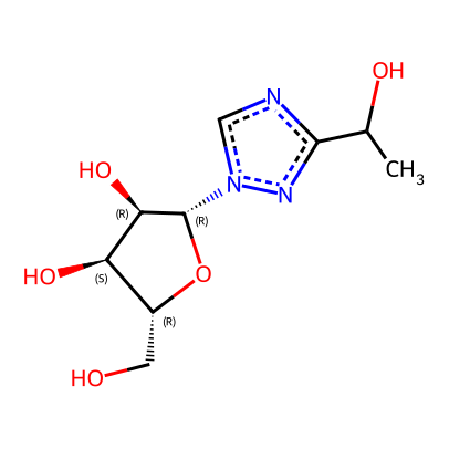 CC(O)c1ncn([C@@H]2O[C@H](CO)[C@@H](O)[C@H]2O)n1